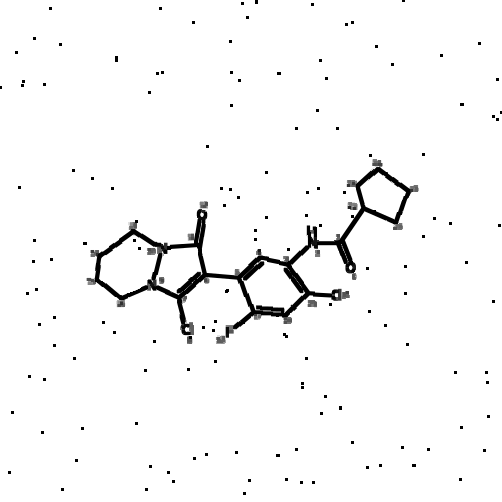 O=C(Nc1cc(-c2c(Cl)n3n(c2=O)CCCC3)c(F)cc1Cl)C1CCCC1